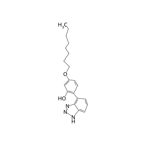 CCCCCCCCOc1ccc(-c2cccc3[nH]nnc23)c(O)c1